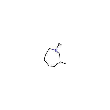 CC1CCCCCN(C(C)C)C1